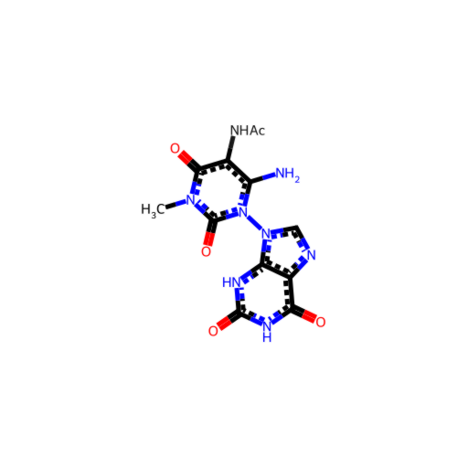 CC(=O)Nc1c(N)n(-n2cnc3c(=O)[nH]c(=O)[nH]c32)c(=O)n(C)c1=O